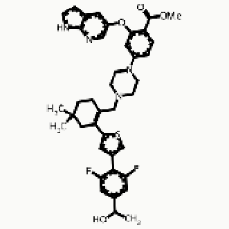 COC(=O)c1ccc(N2CCN(CC3=C(c4cc(-c5c(F)cc(C(C)O)cc5F)cs4)CC(C)(C)CC3)CC2)cc1Oc1cnc2[nH]ccc2c1